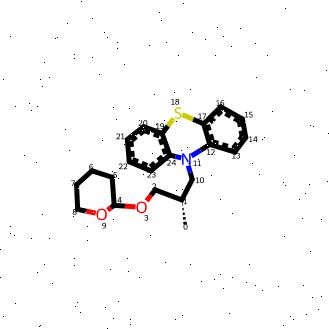 C[C@H](COC1CCCCO1)CN1c2ccccc2Sc2ccccc21